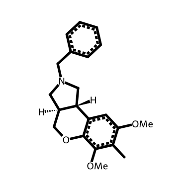 COc1cc2c(c(OC)c1C)OC[C@H]1CN(Cc3ccccc3)C[C@H]21